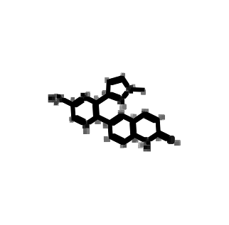 Cn1ccc(-c2nc(N)cnc2-c2ccc3[nH]c(=O)ccc3c2)n1